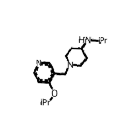 CC(C)NC1CCN(Cc2cnccc2OC(C)C)CC1